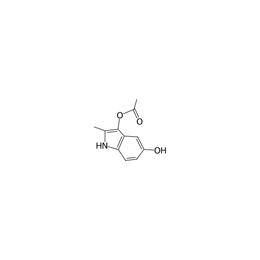 CC(=O)Oc1c(C)[nH]c2ccc(O)cc12